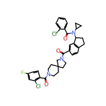 O=C(c1ccc2c(c1)C(N(C(=O)c1ccccc1Cl)C1CC1)CC2)N1CCC2(CCN(C(=O)c3ccc(F)cc3Cl)CC2)C1